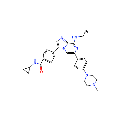 CC(C)CNc1nc(-c2ccc(N3CCN(C)CC3)cc2)cn2c(-c3ccc(C(=O)NC4CC4)cc3)cnc12